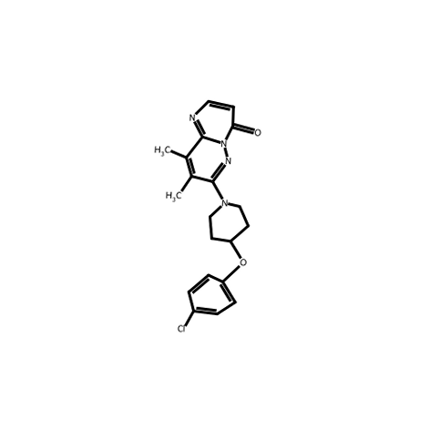 Cc1c(N2CCC(Oc3ccc(Cl)cc3)CC2)nn2c(=O)ccnc2c1C